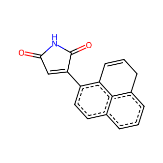 O=C1C=C(c2ccc3cccc4c3c2C=CC4)C(=O)N1